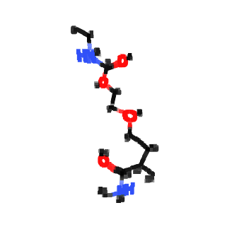 CCNC(=O)OCCOCCC(C)C(=O)NC